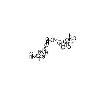 O=C1CCC(N2C(=O)c3cccc(N4CCC(CN5CCC(C(=O)N6CCC(SCc7nc8cc(NC9CCCC9)cc(F)c8c(=O)[nH]7)CC6)CC5)CC4)c3C2=O)C(=O)N1